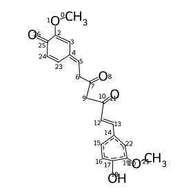 COC1=CC(=CCC(=O)CC(=O)C=Cc2ccc(O)c(OC)c2)C=CC1=O